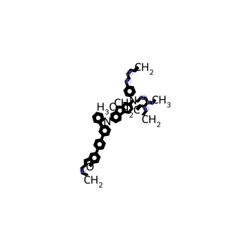 C=C/C=C\C=C\c1ccc(N(C\C=C/C(=C\C)C(/C=C)=C/C=C)C2=CC3=C(CC2)c2ccc(-n4c5ccccc5c5cc(-c6ccc(-c7ccc8oc(/C=C\C=C)cc8c7)cc6)ccc54)cc2C3(C)C)cc1